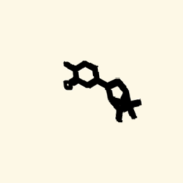 CC1CCC(C2CC3CC2C(C)C3(C)C)CC1=O